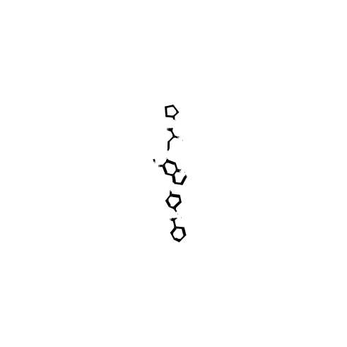 COc1cc2c(Oc3ccc(NC(=O)c4ccccc4)cc3)ccnc2cc1OCCC(N)C(=O)OC1CCCC1